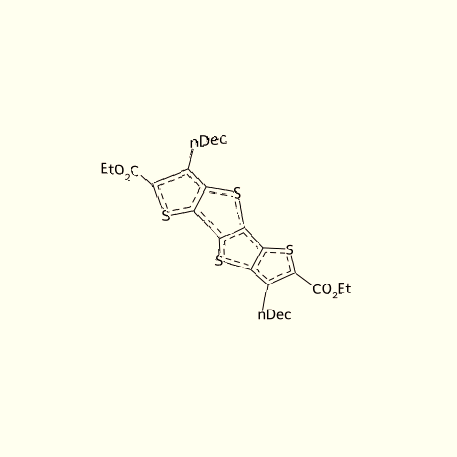 CCCCCCCCCCc1c(C(=O)OCC)sc2c1sc1c3sc(C(=O)OCC)c(CCCCCCCCCC)c3sc21